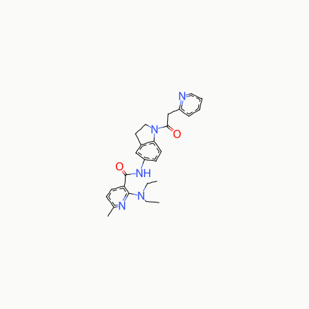 CCN(CC)c1nc(C)ccc1C(=O)Nc1ccc2c(c1)CCN2C(=O)Cc1ccccn1